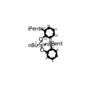 CCC[CH2][Sn]([CH2]CCC)([O]c1ccccc1C(C)CCC)[O]c1ccccc1C(C)CCC